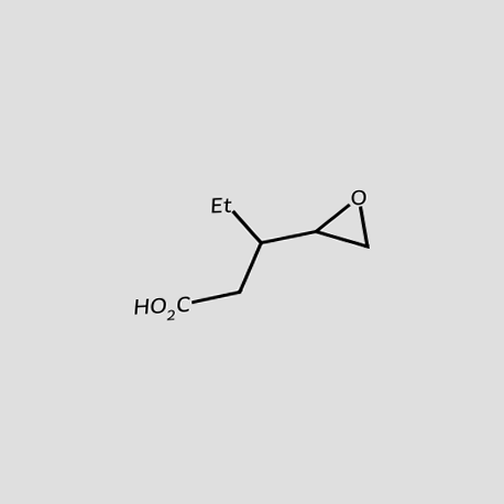 CCC(CC(=O)O)C1CO1